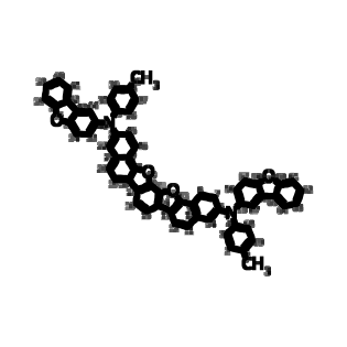 Cc1ccc(N(c2ccc3c(ccc4c5ccc6c7ccc8cc(N(c9ccc(C)cc9)c9ccc%10oc%11ccccc%11c%10c9)ccc8c7oc6c5oc34)c2)c2ccc3oc4ccccc4c3c2)cc1